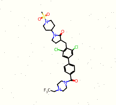 CS(=O)(=O)N1CCC(N2CCC(Cc3c(Cl)cc(-c4ccc(C(=O)N5CCN(CC(F)(F)F)CC5)cc4)cc3Cl)C2=O)CC1